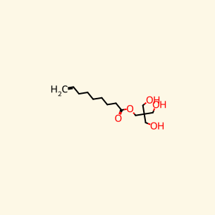 C=CCCCCCCC(=O)OCC(CO)(CO)CO